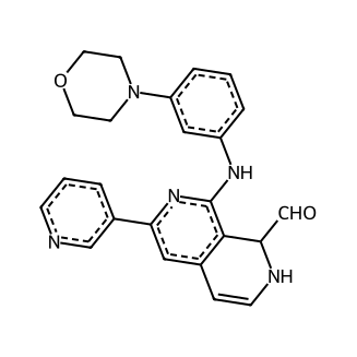 O=CC1NC=Cc2cc(-c3cccnc3)nc(Nc3cccc(N4CCOCC4)c3)c21